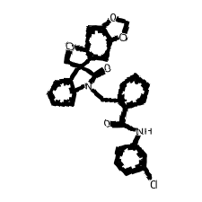 O=C(Nc1cccc(Cl)c1)c1ccccc1CN1C(=O)C2(COc3cc4c(cc32)OCO4)c2ccccc21